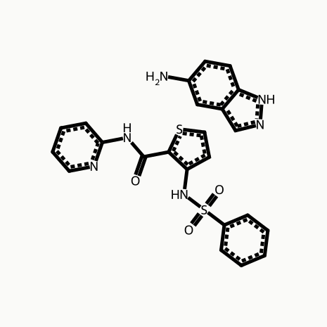 Nc1ccc2[nH]ncc2c1.O=C(Nc1ccccn1)c1sccc1NS(=O)(=O)c1ccccc1